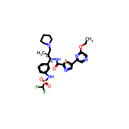 CCOc1cncc(-c2cnc(C(=O)N[C@@H](c3cccc(NS(=O)(=O)C(F)F)c3)[C@@H](C)CN3CCCCC3)s2)n1